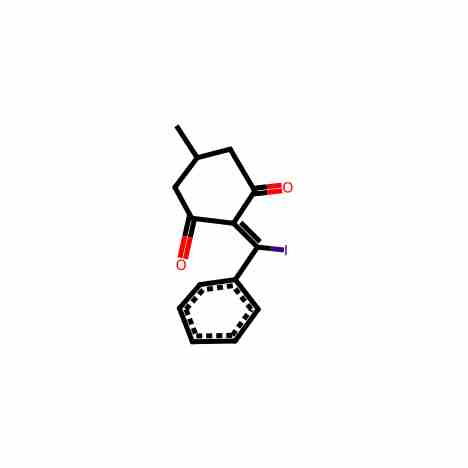 CC1CC(=O)C(=C(I)c2ccccc2)C(=O)C1